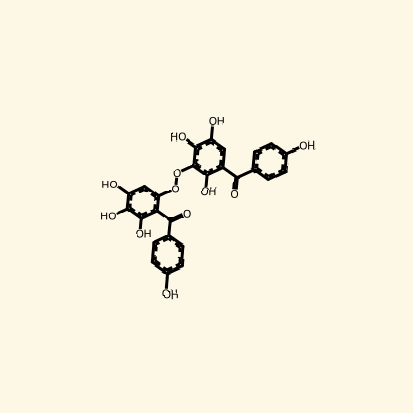 O=C(c1ccc(O)cc1)c1cc(O)c(O)c(OOc2cc(O)c(O)c(O)c2C(=O)c2ccc(O)cc2)c1O